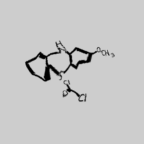 COc1ccc2c(c1)Nc1ccccc1S2.O=C(Cl)Cl